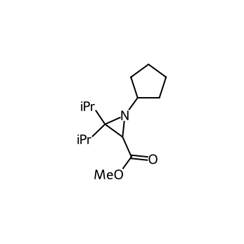 COC(=O)C1N(C2CCCC2)C1(C(C)C)C(C)C